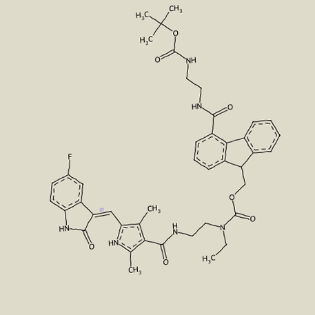 CCN(CCNC(=O)c1c(C)[nH]c(/C=C2\C(=O)Nc3ccc(F)cc32)c1C)C(=O)OCC1c2ccccc2-c2c(C(=O)NCCNC(=O)OC(C)(C)C)cccc21